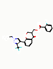 CCn1cc(-c2cccc3c2OCC(COC(=O)c2ccccc2F)C3=O)c(C(F)(F)F)n1